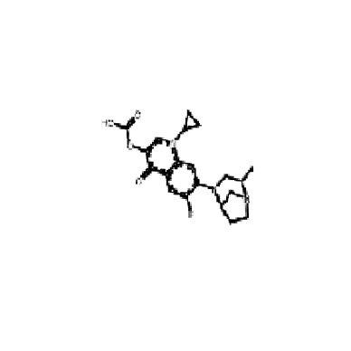 CC1CN(c2cc3c(cc2F)c(=O)c(OC(=O)O)cn3C2CC2)C2CCN1C2